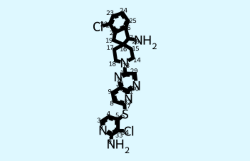 Nc1nccc(Sc2ccc3nc(N4CCC5(CC4)Cc4c(Cl)cccc4C5N)cnc3n2)c1Cl